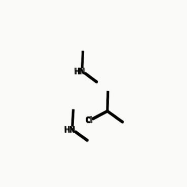 CC(C)Cl.CNC.CNC